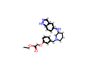 CCOC(=O)COc1cccc(CN2CCCC(Nc3ccc4[nH]ncc4c3)C2)c1